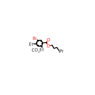 CCOC(=O)c1cc(CC)c(Br)cc1C(=O)OCCCC(C)C